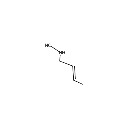 CC=CCNC#N